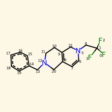 FC(F)(F)CN1C=CC2=C(CCN(Cc3ccccc3)C2)C1